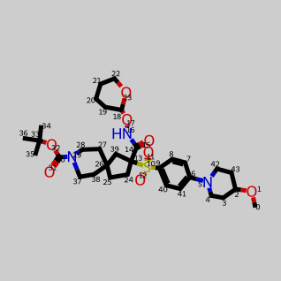 COC1CCN(c2ccc(S(=O)(=O)C3(C(=O)NOC4CCCCO4)CCC4(CCN(C(=O)OC(C)(C)C)CC4)C3)cc2)CC1